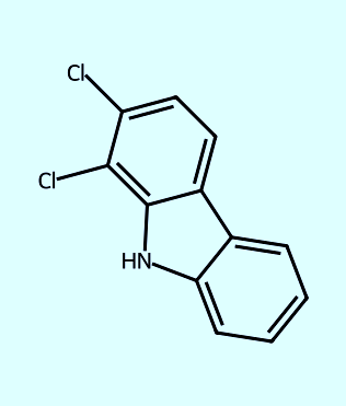 Clc1ccc2c([nH]c3ccccc32)c1Cl